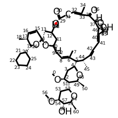 CO[C@H]1C[C@H](C2/C(C)=C/C[C@@H]3C[C@@H](C[C@]4(C=C[C@H](C)[C@@H](C5CCCCC5)O4)O3)OC(=O)C/C=C(/C)C(=O)[C@H]3OC/C(=C\C=C\[C@@H]2C)[C@@H]3O)O[C@@H](C)C1[C@H]1C[C@H](OC)[C@@H](O)[C@H](C)O1